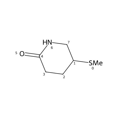 CSC1CCC(=O)NC1